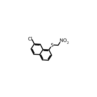 O=[N+]([O-])CSc1cccc2ccc(Cl)cc12